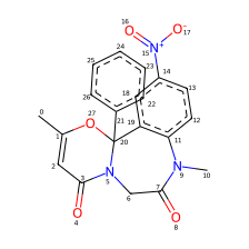 CC1=CC(=O)N2CC(=O)N(C)c3ccc([N+](=O)[O-])cc3C2(c2ccccc2)O1